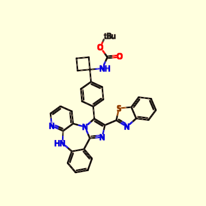 CC(C)(C)OC(=O)NC1(c2ccc(-c3c(-c4nc5ccccc5s4)nc4n3-c3cccnc3Nc3ccccc3-4)cc2)CCC1